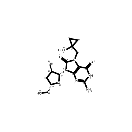 Nc1nc2c(c(=O)[nH]1)n(CC1(C(=O)O)CC1)c(=O)n2[C@@H]1O[C@H](CO)C[C@H]1O